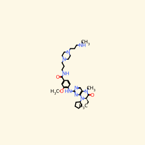 CC[C@@H]1C(=O)N(C)c2cnc(Nc3ccc(C(=O)NCCCN4CCN(CCCNC)CC4)cc3OC)nc2N1C1CCCC1